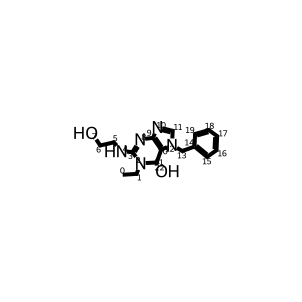 CCN1C(NCCO)=Nc2ncn(Cc3ccccc3)c2C1O